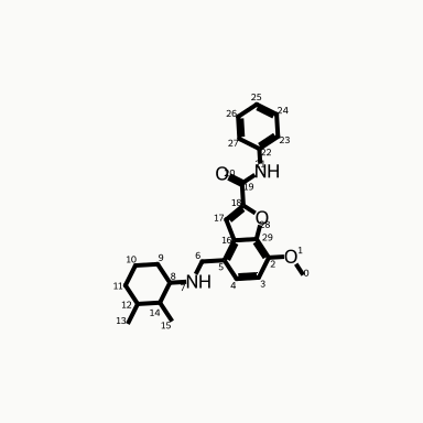 COc1ccc(CNC2CCCC(C)C2C)c2cc(C(=O)Nc3ccccc3)oc12